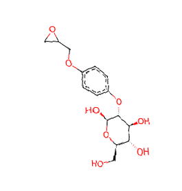 OC[C@H]1O[C@@H](O)[C@H](Oc2ccc(OCC3CO3)cc2)[C@@H](O)[C@@H]1O